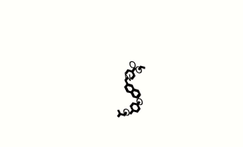 CCOC(=O)C1CCN(Cc2ccc3cc(OC4CCC(COCC(C)C)CC4)ccc3c2)CC1